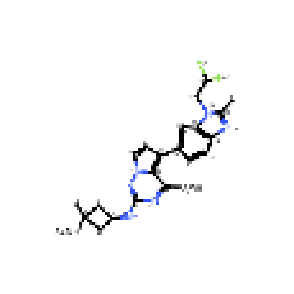 COc1nc(NC2CC(C)(NC(C)=O)C2)nn2ccc(-c3ccc4nc(C)n(CC(F)F)c4c3)c12